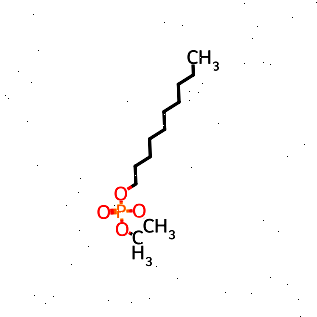 CCCCCCCCCCOP(=O)(OC)OC